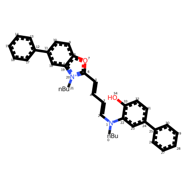 CCCCN(/C=C/C=C/c1oc2ccc(-c3ccccc3)cc2[n+]1CCCC)c1cc(-c2ccccc2)ccc1O